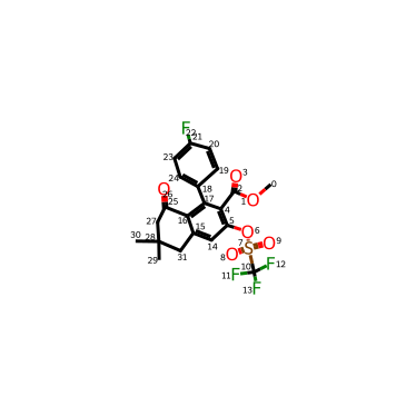 COC(=O)c1c(OS(=O)(=O)C(F)(F)F)cc2c(c1-c1ccc(F)cc1)C(=O)CC(C)(C)C2